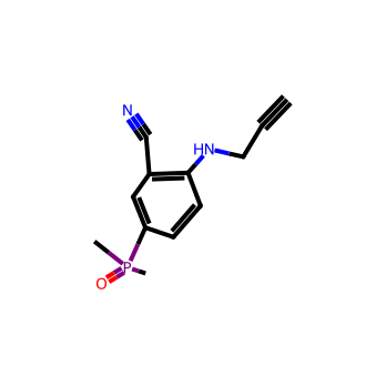 C#CCNc1ccc(P(C)(C)=O)cc1C#N